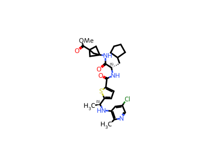 COC(=O)C12CC(NC(=O)[C@H](CC3CCCC3)NC(=O)c3ccc([C@H](C)Nc4cc(Cl)cnc4C)s3)(C1)C2